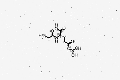 NCC(=O)N[C@@H](CCC(=O)OB(O)O)C(=O)O